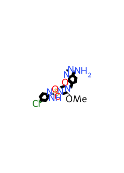 COC[C@@H]1CN(S(=O)(=O)c2nc3ccc(Cl)cc3[nH]2)CC(=O)N1Cc1ccc2c(N)ncnc2c1